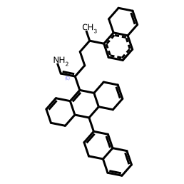 CC(CC/C(=C\N)C1=C2C=CCCC2C(C2=CCC3C=CC=CC3=C2)C2CC=CCC12)c1cccc2c1CCC=C2